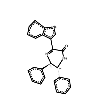 O=C1N[C@H](c2ccccc2)[C@@H](c2ccccc2)N=C1c1c[nH]c2ccccc12